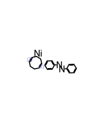 C1=C\CC/C=C\CC/1.[Ni].c1ccc(N=Nc2ccccc2)cc1